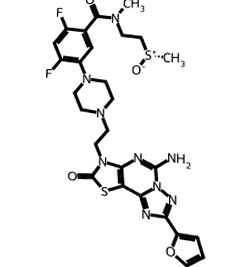 CN(CC[S@+](C)[O-])C(=O)c1cc(N2CCN(CCn3c(=O)sc4c3nc(N)n3nc(-c5ccco5)nc43)CC2)c(F)cc1F